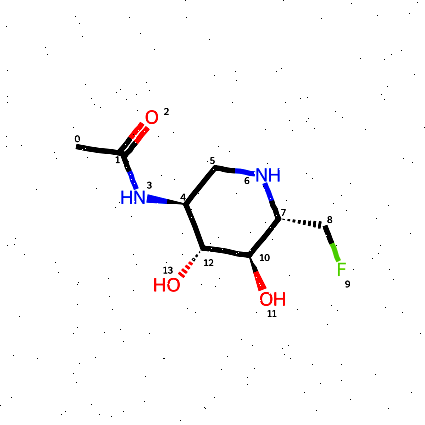 CC(=O)N[C@H]1CN[C@H](CF)[C@@H](O)[C@@H]1O